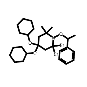 CCC1(CC)CC(OC2CCCCC2)(OC2CCCCC2)CC(C)(C)N1OC(C)c1ccccc1